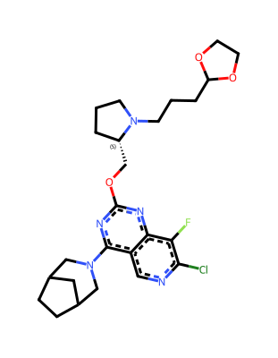 Fc1c(Cl)ncc2c(N3CC4CCC(C4)C3)nc(OC[C@@H]3CCCN3CCCC3OCCO3)nc12